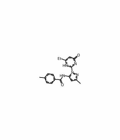 CCc1cc(=O)nc(-n2nc(C)cc2NC(=O)c2ccc(C)cc2)[nH]1